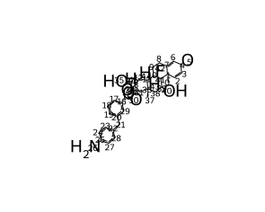 C[C@]12C=CC(=O)C=C1CC[C@H]1[C@@H]3C[C@H]4O[C@@H](c5cccc(Cc6ccc(N)cc6)c5)O[C@@]4(C(=O)CO)[C@@]3(C)C[C@H](O)[C@@]12F